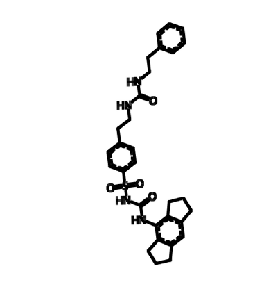 O=C(NCCc1ccccc1)NCCc1ccc(S(=O)(=O)NC(=O)Nc2c3c(cc4c2CCC4)CCC3)cc1